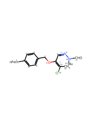 CCCCCc1ccc(COC(/C=N\N(C=O)C(C)(C)C)=C(/C)Cl)cc1